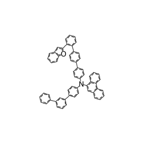 c1ccc(-c2cccc(-c3ccc(N(c4ccc(-c5ccc(-c6ccccc6-c6cc7ccccc7o6)cc5)cc4)c4cc5ccccc5c5ccccc45)cc3)c2)cc1